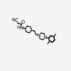 Cc1ccc(C)c(N2CCN(CCC3CCC(NC(=O)CC#N)CC3)CC2)c1